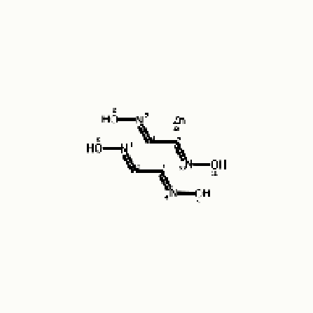 ON=CC=NO.ON=CC=NO.[Zn]